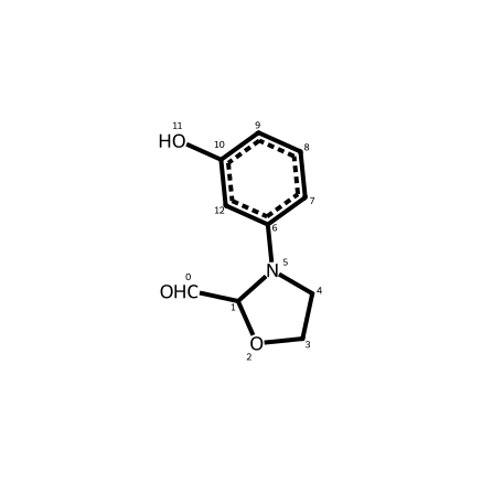 O=CC1OCCN1c1cccc(O)c1